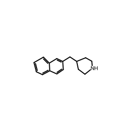 c1ccc2cc(CC3CCNCC3)ccc2c1